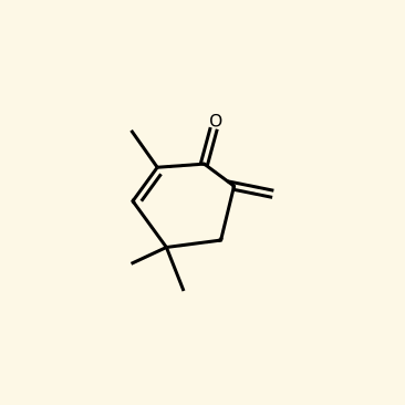 C=C1CC(C)(C)C=C(C)C1=O